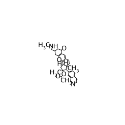 CNCC1CC(=O)C2=C(C1)O[C@@H]1C(=C2)CC[C@@]2(C)[C@H]1CC(C)(OC(C)=O)[C@@H]2c1ccc2ccncc2c1